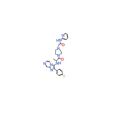 CC(Nc1c(-c2ccc(F)cc2)nc2cnccn12)C(=O)N1CCN(CC(=O)Nc2ccccn2)CC1